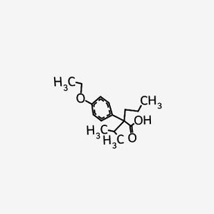 CCCC(C(=O)O)(c1ccc(OCC)cc1)C(C)C